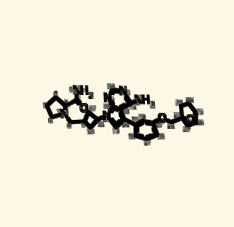 NC(=O)[C@@H]1CCCN1CC1CC(n2cc(-c3cccc(OCC45CCC(CC4)O5)c3)c3c(N)ncnc32)C1